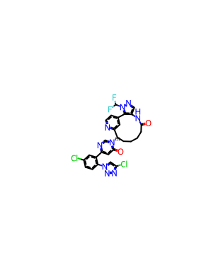 O=C1CCCC[C@H](n2cnc(-c3cc(Cl)ccc3-n3cc(Cl)nn3)cc2=O)c2cc(ccn2)-c2c(cnn2C(F)F)N1